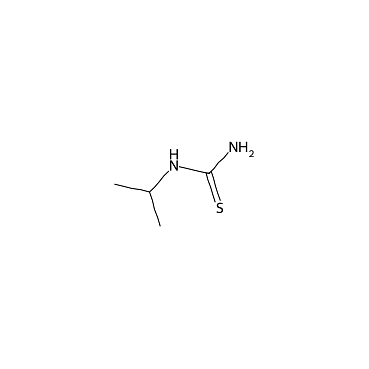 CC(C)NC(N)=S